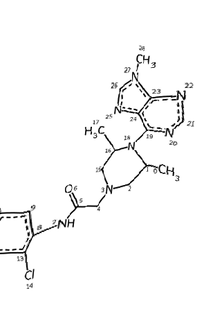 CC1CN(CC(=O)Nc2ccccc2Cl)CC(C)N1c1ncnc2c1ncn2C